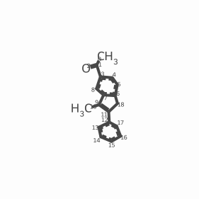 CC(=O)c1ccc2c(c1)C(C)=C(c1ccccc1)C2